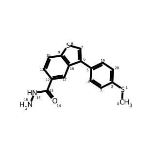 CSc1ccc(-c2csc3ccc(C(=O)NN)cc23)cc1